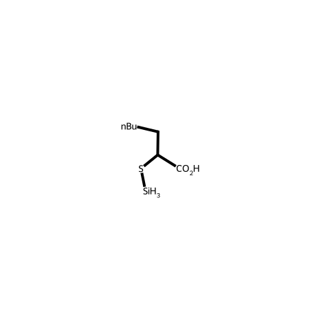 CCCCCC(S[SiH3])C(=O)O